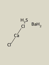 S.[BaH2].[Cl][Ca][Cl]